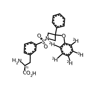 [2H]c1c([2H])c([2H])c(OC2(c3ccccc3)CN(S(=O)(=O)c3cccc(C[C@H](N)C(=O)O)c3)C2)c([2H])c1[2H]